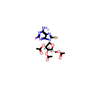 CC(=O)OC[C@H]1O[C@@H](n2c(Br)nc3c(N)nc(I)nc32)[C@H](OC(C)=O)[C@@H]1OC(C)=O